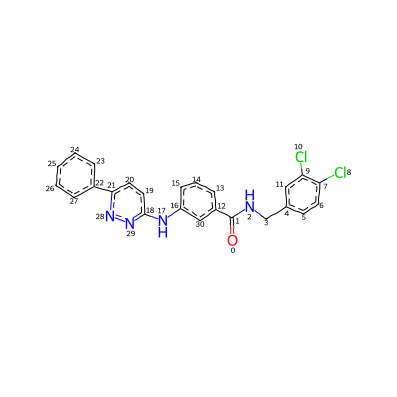 O=C(NCc1ccc(Cl)c(Cl)c1)c1cccc(Nc2ccc(-c3ccccc3)nn2)c1